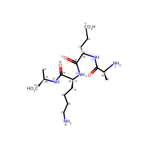 C[C@H](N)C(=O)N[C@@H](CCC(=O)O)C(=O)N[C@@H](CCCCN)C(=O)N[C@H](C)C(=O)O